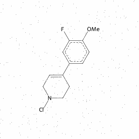 COc1ccc(C2=CCN(Cl)CC2)cc1F